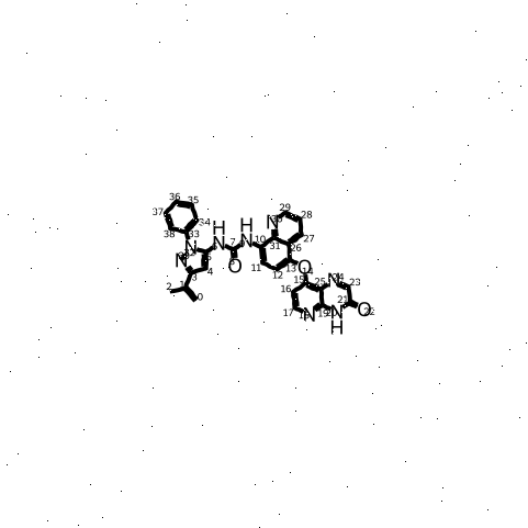 C=C(C)c1cc(NC(=O)Nc2ccc(Oc3ccnc4[nH]c(=O)cnc34)c3cccnc23)n(-c2ccccc2)n1